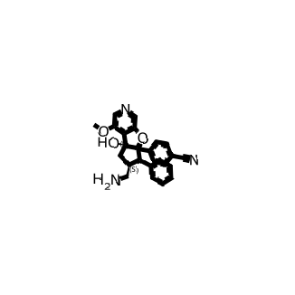 COc1cncc2c1[C@]1(O)C[C@H](CN)C(c3ccccc3)C1(c1ccc(C#N)cc1)O2